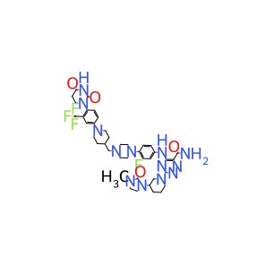 CN1CCN(C2CCCN(c3nnc(C(N)=O)c(Nc4ccc(N5CCN(CC6CCN(c7ccc(N8CCC(=O)NC8=O)c(C(F)(F)F)c7)CC6)CC5)c(F)c4)n3)C2)C1=O